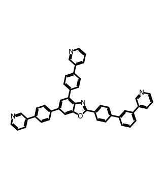 c1cncc(-c2ccc(-c3cc(-c4ccc(-c5cccnc5)cc4)c4nc(-c5ccc(-c6cccc(-c7cccnc7)c6)cc5)oc4c3)cc2)c1